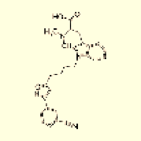 CN(C)C(Cc1cn(CCCCc2cc(-c3cccc(C#N)c3)no2)c2ccccc12)C(=O)O